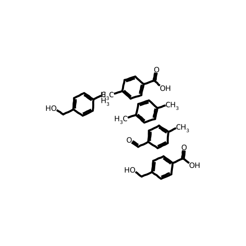 Cc1ccc(C(=O)O)cc1.Cc1ccc(C)cc1.Cc1ccc(C=O)cc1.Cc1ccc(CO)cc1.O=C(O)c1ccc(CO)cc1